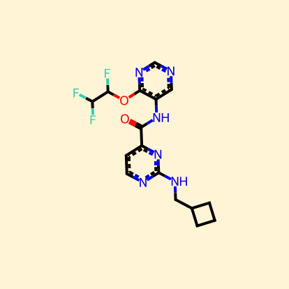 O=C(Nc1cncnc1OC(F)C(F)F)c1ccnc(NCC2CCC2)n1